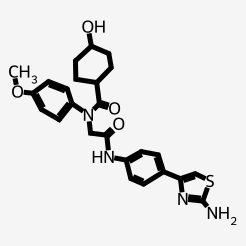 COc1ccc(N(CC(=O)Nc2ccc(-c3csc(N)n3)cc2)C(=O)C2CCC(O)CC2)cc1